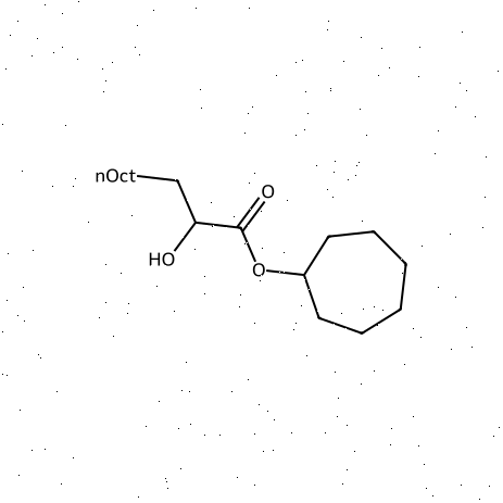 CCCCCCCCCC(O)C(=O)OC1CCCCCC1